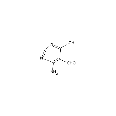 Nc1ncnc(O)c1C=O